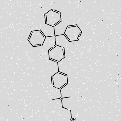 C[Si](C)(CCO)c1ccc(-c2ccc([Si](c3ccccc3)(c3ccccc3)c3ccccc3)cc2)cc1